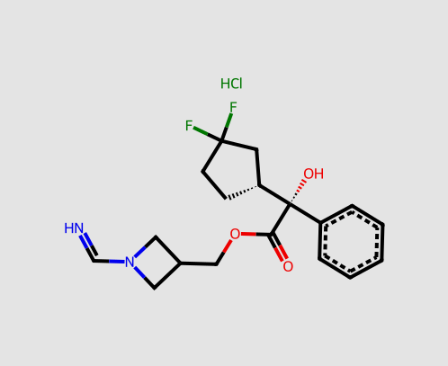 Cl.N=CN1CC(COC(=O)[C@](O)(c2ccccc2)[C@@H]2CCC(F)(F)C2)C1